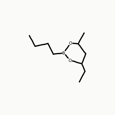 CCCCB1OC(C)CC(CC)O1